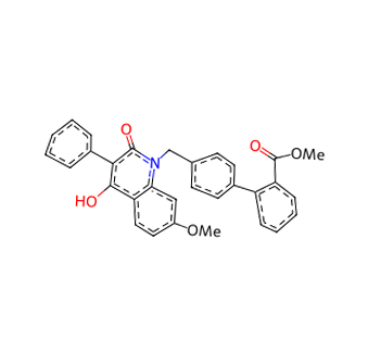 COC(=O)c1ccccc1-c1ccc(Cn2c(=O)c(-c3ccccc3)c(O)c3ccc(OC)cc32)cc1